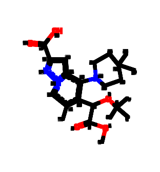 COC(=O)C(OC(C)(C)C)c1c(C)cn2nc(C(=O)O)cc2c1N1CCC(C)(C)CC1